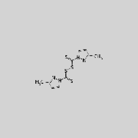 Cc1ccn(C(=S)SSC(=S)n2ccc(C)n2)n1